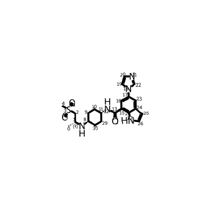 C[C@H](CS(C)(=O)=O)N[C@H]1CC[C@H](NC(=O)c2cc(-n3ccnc3)cc3cc[nH]c23)CC1